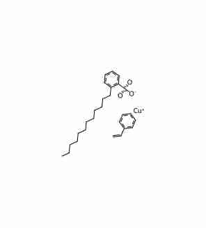 C=Cc1ccccc1.CCCCCCCCCCCCc1ccccc1S(=O)(=O)[O-].[Cu+]